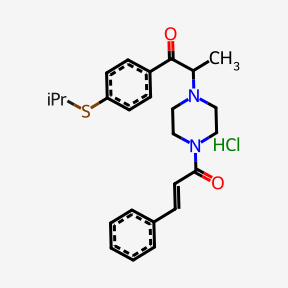 CC(C)Sc1ccc(C(=O)C(C)N2CCN(C(=O)C=Cc3ccccc3)CC2)cc1.Cl